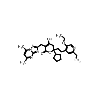 CCOc1cnc(CC)cc1CCC1(C2CCCC2)CC(O)=C(Cc2nc3nc(C)cc(C)n3n2)C(=O)O1